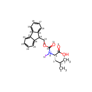 CC(C)C[C@@H](C(=O)O)N(I)C(=O)OCC1c2ccccc2-c2ccccc21